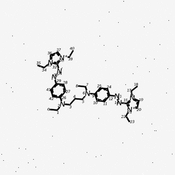 CCN(CCCN(CC)c1ccc(N=Nc2n(CC)cc[n+]2CC)cc1)c1ccc(N=Nc2n(CC)cc[n+]2CC)cc1